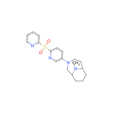 CN1C2CCCC1CN(c1ccc(S(=O)(=O)c3ccccn3)nc1)CC2